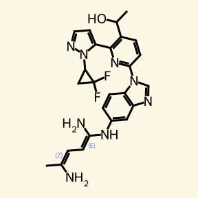 C/C(N)=C/C=C(\N)Nc1ccc2c(c1)ncn2-c1ccc(C(C)O)c(-c2ccnn2C2CC2(F)F)n1